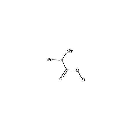 CCCN(CCC)C(=O)OCC